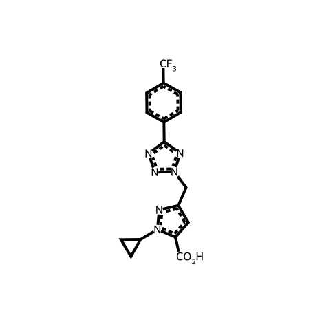 O=C(O)c1cc(Cn2nnc(-c3ccc(C(F)(F)F)cc3)n2)nn1C1CC1